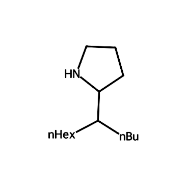 CCCCCCC(CCCC)C1CCCN1